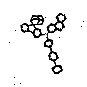 c1ccc(-c2ccc(-c3ccc(N(c4ccc5c(c4)C4(c6ccccc6-5)C5CC6CC(C5)CC4C6)c4ccc5c(ccc6ccccc65)c4)cc3)cc2)cc1